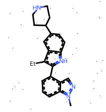 CCc1c(-c2cccc3c2cnn3C)[nH]c2ccc(C3CCNCC3)cc12